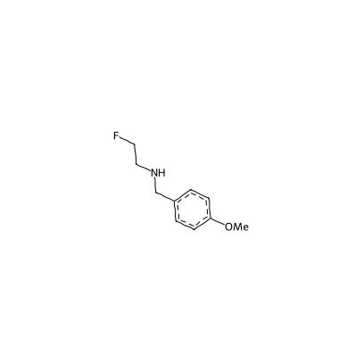 COc1ccc(CNCCF)cc1